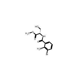 COC(=O)[C@H](CO)NC(=O)c1cccc(Br)c1N